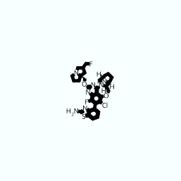 Nc1nc2c(-c3c(Cl)c4c5c(nc(OC[C@@]67CCCN6CC(CF)C7)nc5c3F)N3C[C@H]5CC[C@H](N5)[C@H]3CO4)cccc2s1